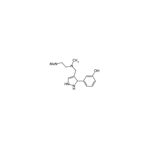 CNCCN(C)CC1=CNNC1c1cccc(O)c1